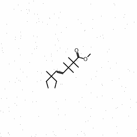 CCC(C)(/C=C/C(C)(C)C(C)(C)C(=O)OC)CC